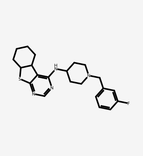 Fc1cccc(CN2CCC(Nc3ncnc4c3C3CCCCC3S4)CC2)c1